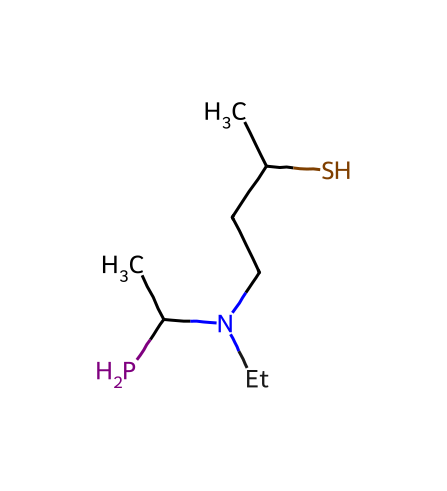 CCN(CCC(C)S)C(C)P